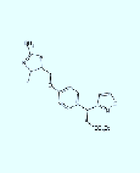 BC1=NC(C)C(COc2ccc([C@H](CC(=O)OCC)c3ccon3)cc2)S1